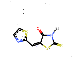 CCN1C(=O)/C(=C\c2nccs2)SC1=S